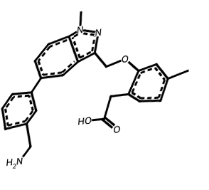 Cc1ccc(CC(=O)O)c(OCc2nn(C)c3ccc(-c4cccc(CN)c4)cc23)c1